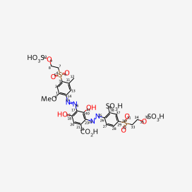 COc1cc(S(=O)(=O)CCOS(=O)(=O)O)c(C)cc1N=Nc1c(O)cc(C(=O)O)c(N=Nc2ccc(S(=O)(=O)CCOS(=O)(=O)O)cc2S(=O)(=O)O)c1O